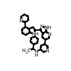 C=C(Nc1cncc(-c2cnc3[nH]nc(-c4cc5c(-c6ccccn6)cccc5[nH]4)c3c2)c1)c1ccccc1